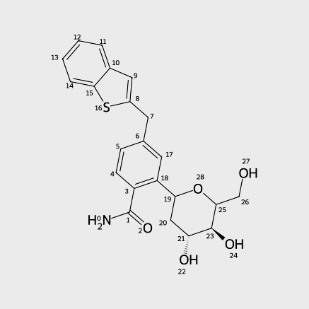 NC(=O)c1ccc(Cc2cc3ccccc3s2)cc1C1C[C@@H](O)[C@H](O)C(CO)O1